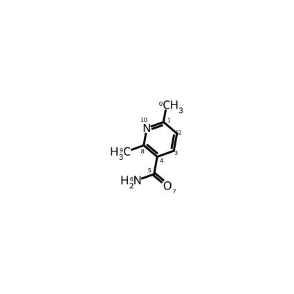 Cc1[c]cc(C(N)=O)c(C)n1